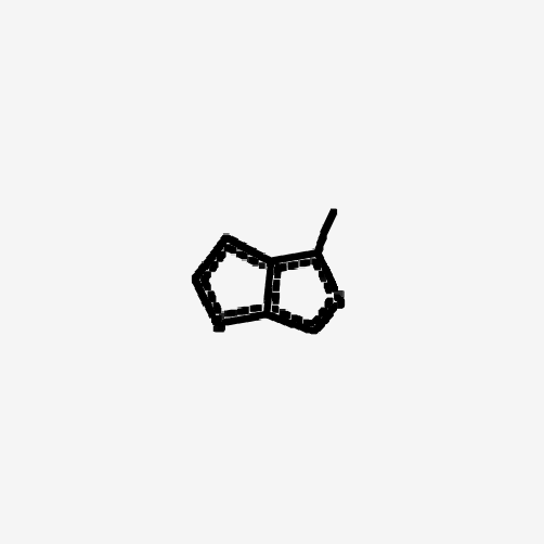 Cc1scc2sccc12